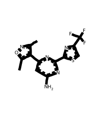 Cc1noc(C)c1-c1cc(N)nc(-c2nc(C(F)(F)F)cs2)n1